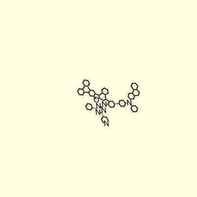 c1ccc(-c2nc(-c3ccncc3)nc(-n3c4ccc(-c5ccc(N(c6ccccc6)c6ccc7c(ccc8ccccc87)c6)cc5)cc4c4c5ccccc5c5c6cc7c8ccccc8c8ccccc8c7cc6oc5c43)n2)cc1